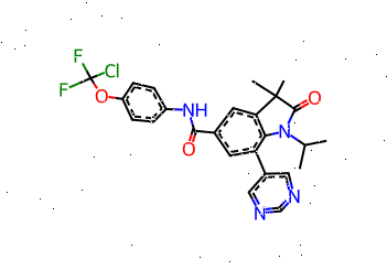 CC(C)N1C(=O)C(C)(C)c2cc(C(=O)Nc3ccc(OC(F)(F)Cl)cc3)cc(-c3cncnc3)c21